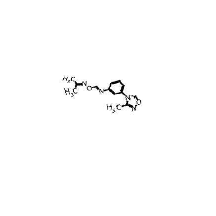 CC(C)=NO/C=N/c1cccc(-[n+]2conc2C)c1